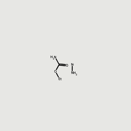 CCOC(N)=O.[N]N